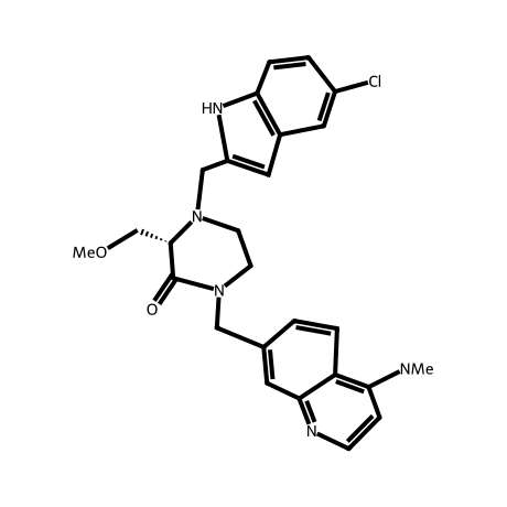 CNc1ccnc2cc(CN3CCN(Cc4cc5cc(Cl)ccc5[nH]4)[C@@H](COC)C3=O)ccc12